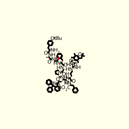 Cc1c(C)c(S(=O)(=O)NC(=N)NCCC[C@H](NC(=O)[C@H](CCC(=O)NC(c2ccccc2)(c2ccccc2)c2ccccc2)NC(=O)[C@@H]2CCCN2C(=O)[C@@H](C)NC(=O)[C@H](Cc2ccccc2)NC(=O)CNC(=O)[C@@H](C)NC(=O)[C@@H](N)Cc2ccc(OC(C)(C)C)cc2)C(=O)N[C@@H](Cc2ccccc2)C(=O)O)c(C)c2c1OC(C)(C)C2